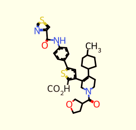 CC1CCC(C2=C(c3cc(-c4ccc(NC(=O)c5cscn5)cc4)sc3C(=O)O)CN(C(=O)C3CCOC3)CC2)CC1